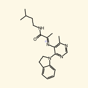 C/C(=N\c1c(C)ncnc1N1CCc2ccccc21)C(=O)NCCC(C)C